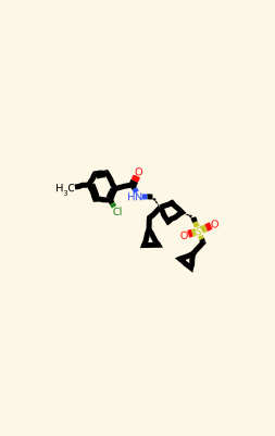 Cc1ccc(C(=O)NC[C@]2(CC3CC3)C[C@H](CS(=O)(=O)CC3CC3)C2)c(Cl)c1